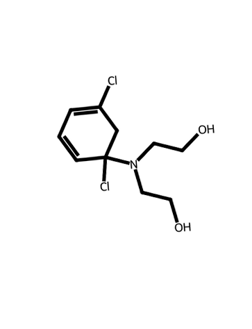 OCCN(CCO)C1(Cl)C=CC=C(Cl)C1